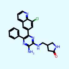 Nc1nc(-c2ccccc2)c(-c2cc(Cl)c3ncccc3c2)nc1NCC1CNC(=O)C1